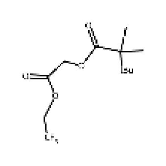 CC(C)(C)C(C)(C)C(=O)OCC(=O)OCC(F)(F)F